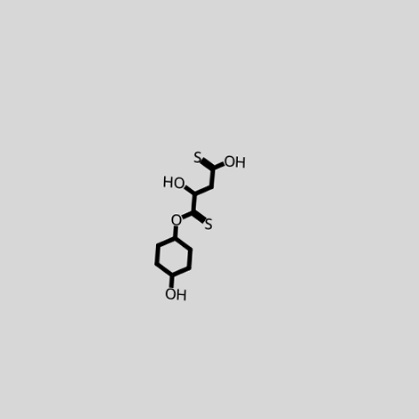 OC(=S)CC(O)C(=S)OC1CCC(O)CC1